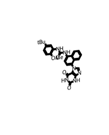 COc1ccc(C(C)(C)C)cc1NC(=O)Nc1ccc(-n2cnc3[nH]c(=O)[nH]c(=O)c32)c2ccccc12